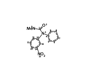 CNC(=O)N(c1ccccc1)c1cccc([N+](=O)[O-])c1